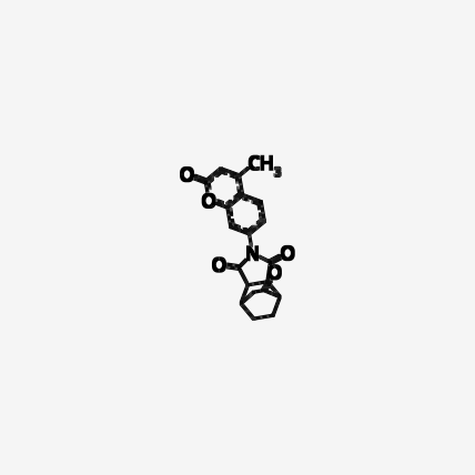 Cc1cc(=O)oc2cc(N3C(=O)C4C5CCC(C(=O)C5)C4C3=O)ccc12